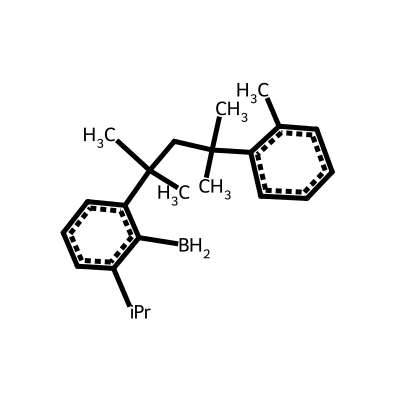 Bc1c(C(C)C)cccc1C(C)(C)CC(C)(C)c1ccccc1C